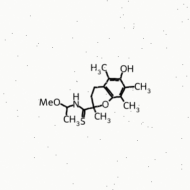 COC(C)NC(=S)C1(C)CCc2c(C)c(O)c(C)c(C)c2O1